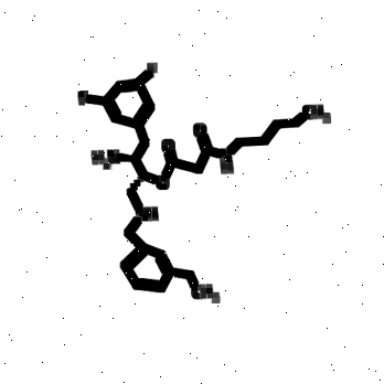 CCCCCNC(=O)CC(=O)O[C@H](CNCc1cccc(CC)c1)[C@@H](N)Cc1cc(F)cc(F)c1